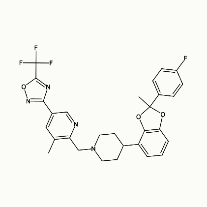 Cc1cc(-c2noc(C(F)(F)F)n2)cnc1CN1CCC(c2cccc3c2OC(C)(c2ccc(F)cc2)O3)CC1